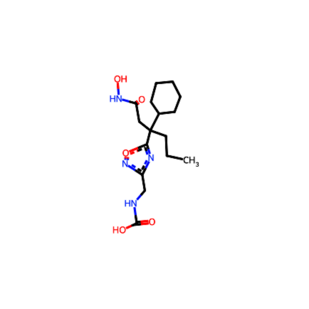 CCCC(CC(=O)NO)(c1nc(CNC(=O)O)no1)C1CCCCC1